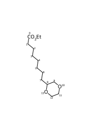 CCOC(=O)CCCCCCCC1COCCO1